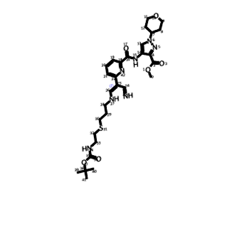 COC(=O)c1nn(C2CCOCC2)cc1NC(=O)c1cccc(/C(C=N)=C/NCCCSCCNC(=O)OC(C)(C)C)n1